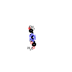 C/N=c1\c(N(C=O)Cc2ccc(OC)cc2)ncnc2c1ncn2Cc1ccc(OC)cc1